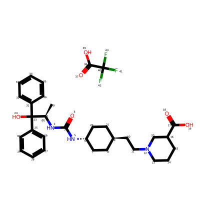 C[C@@H](NC(=O)N[C@H]1CC[C@H](CCN2CCCC(C(=O)O)C2)CC1)C(O)(c1ccccc1)c1ccccc1.O=C(O)C(F)(F)F